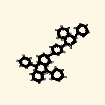 c1ccc(-c2cnc(-c3ccc(-c4ccc5c(-c6ccccc6)c6ccccc6c(-c6ccccc6)c5c4)cc3)c3ccccc23)cc1